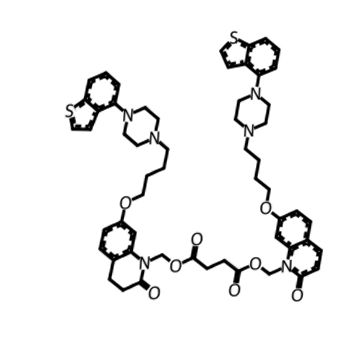 O=C(CCC(=O)OCn1c(=O)ccc2ccc(OCCCCN3CCN(c4cccc5sccc45)CC3)cc21)OCN1C(=O)CCc2ccc(OCCCCN3CCN(c4cccc5sccc45)CC3)cc21